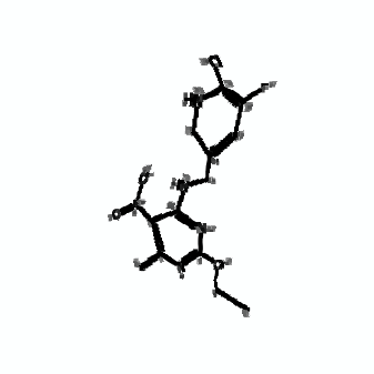 CCOc1nc(C)c([N+](=O)[O-])c(NCC2=CC(F)=C(Cl)NC2)n1